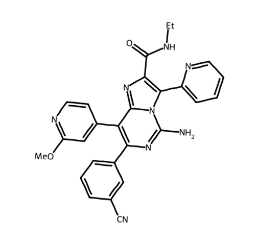 CCNC(=O)c1nc2c(-c3ccnc(OC)c3)c(-c3cccc(C#N)c3)nc(N)n2c1-c1ccccn1